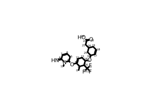 CC1C(OC2CC=CC(=N)N2C)=CCC(OC2C=CCC(CC(=O)O)C2)C1C(F)(F)F